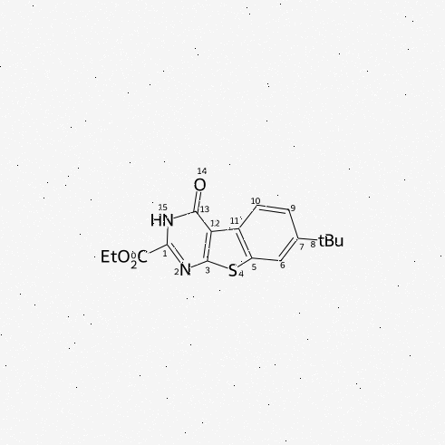 CCOC(=O)c1nc2sc3cc(C(C)(C)C)ccc3c2c(=O)[nH]1